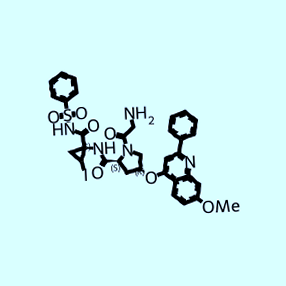 COc1ccc2c(O[C@@H]3C[C@@H](C(=O)N[C@]4(C(=O)NS(=O)(=O)c5ccccc5)CC4I)N(C(=O)CN)C3)cc(-c3ccccc3)nc2c1